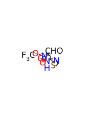 O=C[C@@H]1C[C@H](c2nccs2)NS(=O)(=O)N1CCOC(F)(F)F